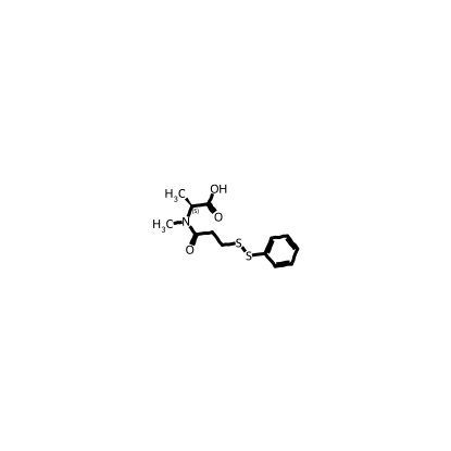 C[C@@H](C(=O)O)N(C)C(=O)CCSSc1ccccc1